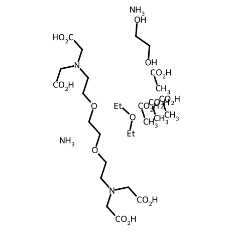 CC(=O)O.CC(=O)O.CC(=O)O.CC(=O)O.CCOCC.N.N.O=C(O)CN(CCOCCOCCN(CC(=O)O)CC(=O)O)CC(=O)O.OCCO